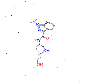 CC(C)n1nc(C(=O)NC2CC[C@@H](CCO)NC2)c2ccccc21